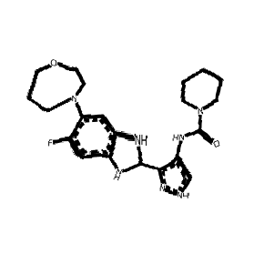 O=C(Nc1c[nH]nc1C1Nc2cc(F)c(N3CCCOCC3)cc2N1)N1CCCCC1